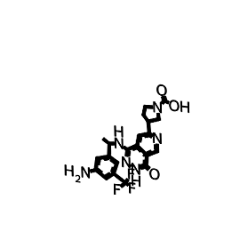 CC(Nc1n[nH]c(=O)c2cnc(C3CCN(C(=O)O)C3)cc12)c1cc(N)cc(C(F)(F)F)c1